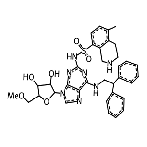 COCC1OC(n2cnc3c(NCC(c4ccccc4)c4ccccc4)nc(NS(=O)(=O)c4ccc(C)c5c4CNCC5)nc32)C(O)C1O